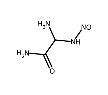 NC(=O)C(N)NN=O